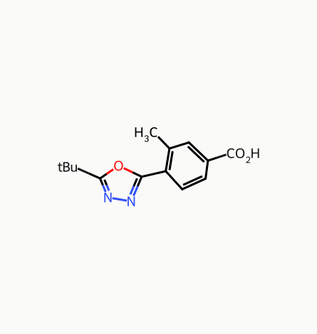 Cc1cc(C(=O)O)ccc1-c1nnc(C(C)(C)C)o1